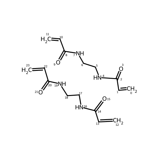 C=CC(=O)NCCNC(=O)C=C.C=CC(=O)NCCNC(=O)C=C